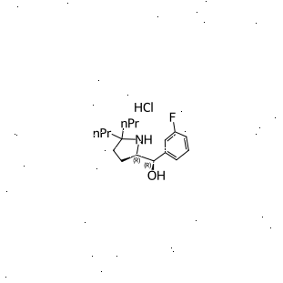 CCCC1(CCC)CC[C@H]([C@H](O)c2cccc(F)c2)N1.Cl